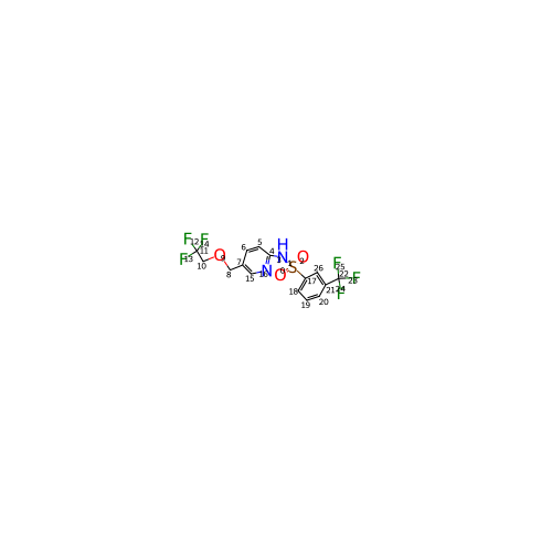 O=S(=O)(Nc1ccc(COCC(F)(F)F)cn1)c1cccc(C(F)(F)F)c1